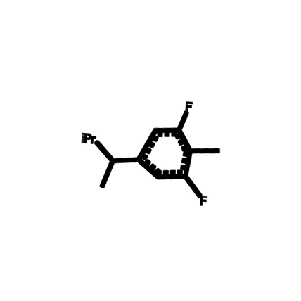 Cc1c(F)cc(C(C)C(C)C)cc1F